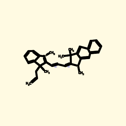 C=CCC1(C)C(/C=C/C=C2/N(C)c3cc4ccccc4cc3C2(C)C)=[N+](C)c2ccccc21